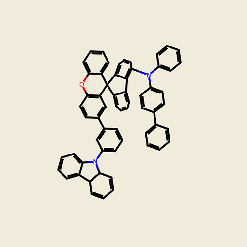 C1=CC2c3ccccc3N(c3cccc(-c4ccc5c(c4)C4(c6ccccc6O5)c5ccccc5-c5c(N(c6ccccc6)c6ccc(-c7ccccc7)cc6)cccc54)c3)C2C=C1